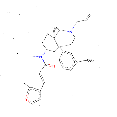 C=CCN1CC[C@@]2(c3cccc(OC(C)=O)c3)C[C@H](N(C)C(=O)/C=C/c3ccoc3C)CC[C@]2(OC(C)=O)C1